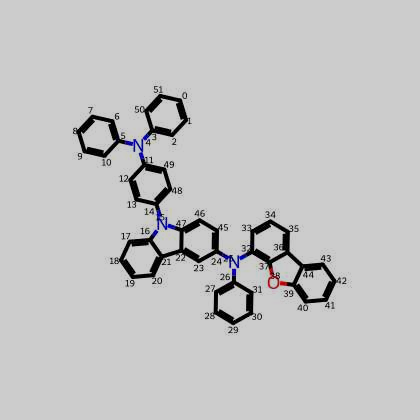 c1ccc(N(c2ccccc2)c2ccc(-n3c4ccccc4c4cc(N(c5ccccc5)c5cccc6c5oc5ccccc56)ccc43)cc2)cc1